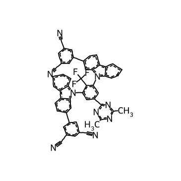 Cc1nc(C)nc(-c2cc(-n3c4ccccc4c4ccc(-c5cc(C#N)cc(C#N)c5)cc43)c(C(F)(F)F)c(-n3c4ccccc4c4ccc(-c5cc(C#N)cc(C#N)c5)cc43)c2)n1